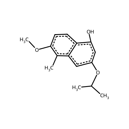 COc1ccc2c(O)cc(OC(C)C)cc2c1C